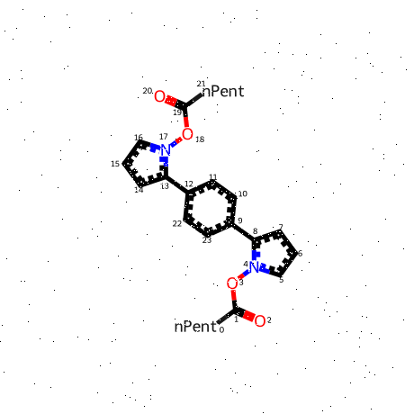 CCCCCC(=O)On1cccc1-c1ccc(-c2cccn2OC(=O)CCCCC)cc1